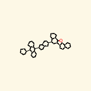 c1ccc(-c2c3ccccc3c(-c3ccc4cc(-c5cc6c7ccc8ccccc8c7oc6c6ccccc56)ccc4c3)c3ccccc23)cc1